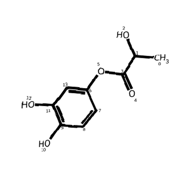 CC(O)C(=O)Oc1ccc(O)c(O)c1